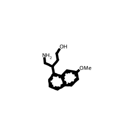 COc1ccc2cccc(C(CN)CCO)c2c1